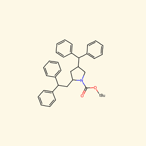 CC(C)(C)OC(=O)N1CC(C(c2ccccc2)c2ccccc2)CC1CC(c1ccccc1)c1ccccc1